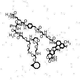 CC[C@@]1(O)C(=O)OCc2c1cc1n(c2=O)Cc2c-1nc1cc(F)c(C)c3c1c2[C@@H](NC(=O)COCNC(=O)CNC(=O)OCc1ccc(NC(=O)[C@H](CCCNC(N)=O)NC(=O)[C@@H](NC(=O)[C@H](C)NC(=O)CCOCC(COCCC(C)=O)NC(=O)CCOCCOCCNC(=O)COC2CCCCCC4C=C42)C(C)C)cc1)CC3